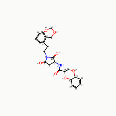 O=C(N[C@H]1CC(=O)N(CCc2cccc3c2COCO3)C1=O)C1COC2C=CC=CC2O1